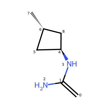 C=C(N)N[C@H]1C[C@H](C)C1